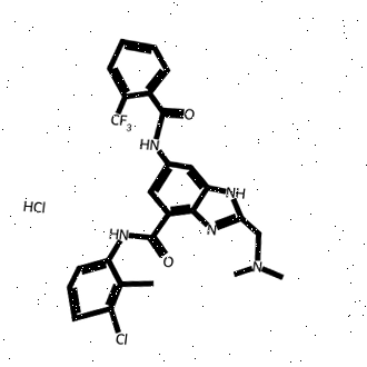 Cc1c(Cl)cccc1NC(=O)c1cc(NC(=O)c2ccccc2C(F)(F)F)cc2[nH]c(CN(C)C)nc12.Cl